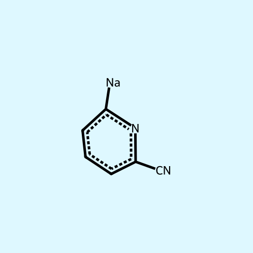 N#Cc1ccc[c]([Na])n1